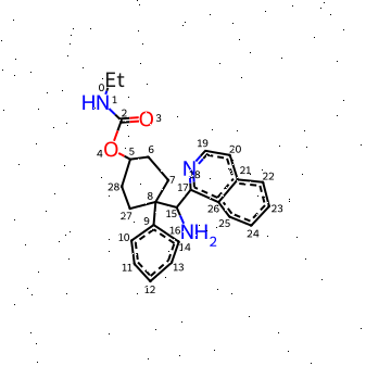 CCNC(=O)OC1CCC(c2ccccc2)(C(N)c2nccc3ccccc23)CC1